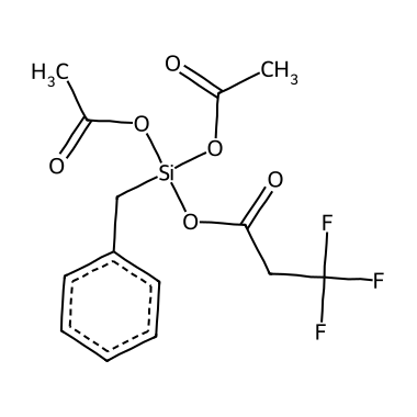 CC(=O)O[Si](Cc1ccccc1)(OC(C)=O)OC(=O)CC(F)(F)F